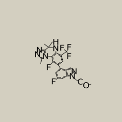 COCCn1ncc2c(-c3cc(C(F)(F)F)c4c(c3F)-n3c(C)nnc3C(C)(C)N4)cc(F)cc21